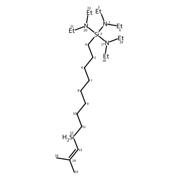 CCN(CC)[Si](CCCCCCCC[SiH2]C=C(C)C)(N(CC)CC)N(CC)CC